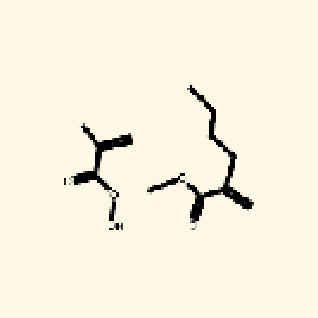 C=C(C)C(=O)OO.C=C(CCCC)C(=O)OC